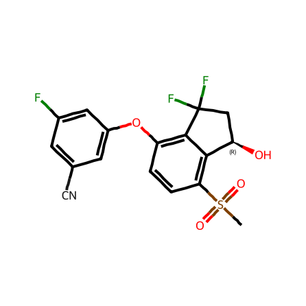 CS(=O)(=O)c1ccc(Oc2cc(F)cc(C#N)c2)c2c1[C@H](O)CC2(F)F